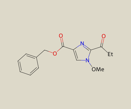 CCC(=O)c1nc(C(=O)OCc2ccccc2)cn1OC